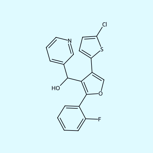 OC(c1cccnc1)c1c(-c2ccc(Cl)s2)coc1-c1ccccc1F